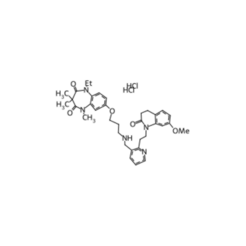 CCN1C(=O)C(C)(C)C(=O)N(C)c2cc(OCCCNCc3cccnc3CCN3C(=O)CCc4ccc(OC)cc43)ccc21.Cl.Cl